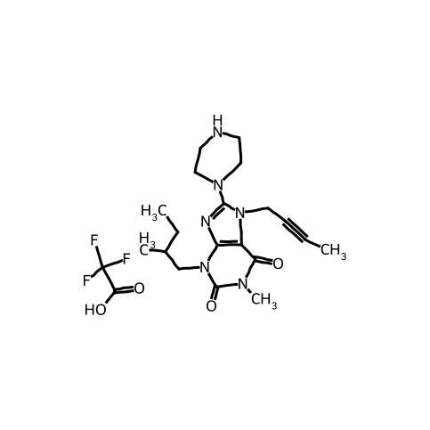 CC#CCn1c(N2CCNCC2)nc2c1c(=O)n(C)c(=O)n2CC(C)CC.O=C(O)C(F)(F)F